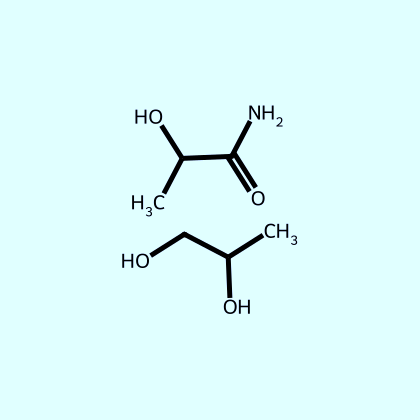 CC(O)C(N)=O.CC(O)CO